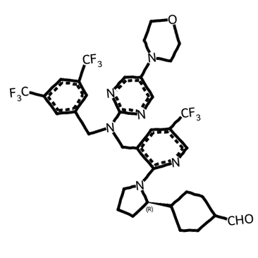 O=CC1CCC([C@H]2CCCN2c2ncc(C(F)(F)F)cc2CN(Cc2cc(C(F)(F)F)cc(C(F)(F)F)c2)c2ncc(N3CCOCC3)cn2)CC1